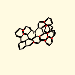 c1ccc(-c2cccc3cccc(-c4ccccc4N(c4cccc(-c5cccc6oc7ccccc7c56)c4)c4ccccc4-c4cccc5cccc(-c6ccccc6)c45)c23)cc1